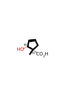 C[C@]1(C(=O)O)CC=C[C@H]1O